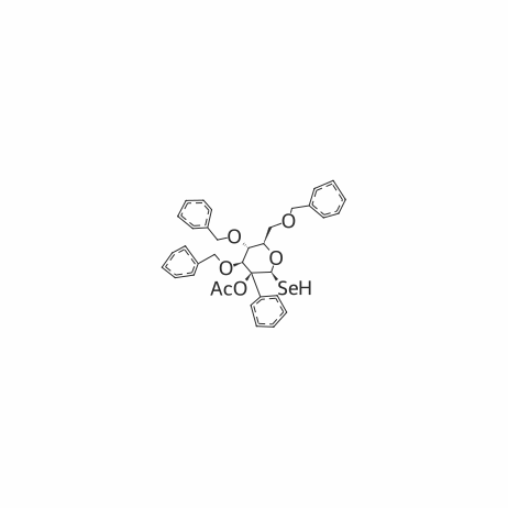 CC(=O)O[C@]1(c2ccccc2)[C@H]([SeH])O[C@H](COCc2ccccc2)[C@@H](OCc2ccccc2)[C@@H]1OCc1ccccc1